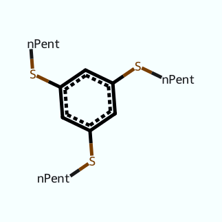 CCCCCSc1cc(SCCCCC)cc(SCCCCC)c1